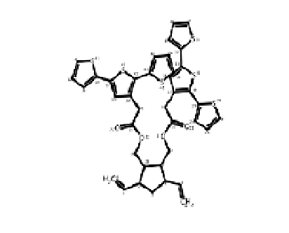 C=CC1CC(C=C)C(COC(=O)Cc2cc(-c3cccs3)sc2-c2cccs2)C1COC(=O)Cc1cc(-c2cccs2)sc1-c1cccs1